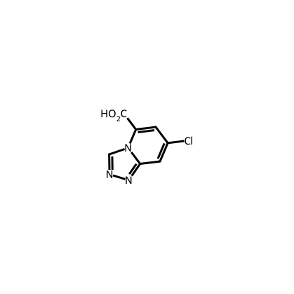 O=C(O)c1cc(Cl)cc2nncn12